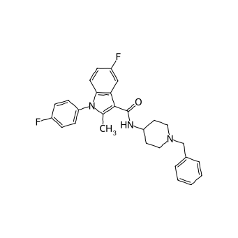 Cc1c(C(=O)NC2CCN(Cc3ccccc3)CC2)c2cc(F)ccc2n1-c1ccc(F)cc1